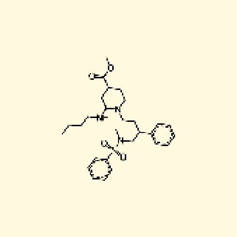 CCCCNC1CC(C(=O)OC)CCN1CCC(CN(C)S(=O)(=O)c1ccccc1)c1ccccc1